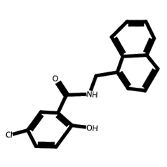 O=C(NCc1cccc2ccccc12)c1cc(Cl)ccc1O